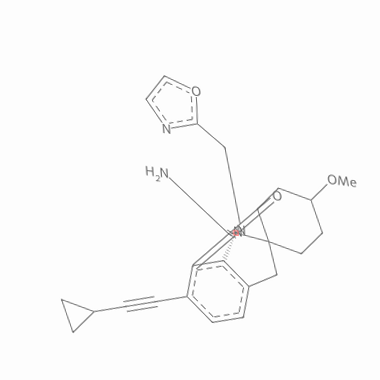 COC1CCC2(CC1)Cc1ccc(C#CC3CC3)cc1[C@]21N=C(N)N(Cc2ncco2)C1=O